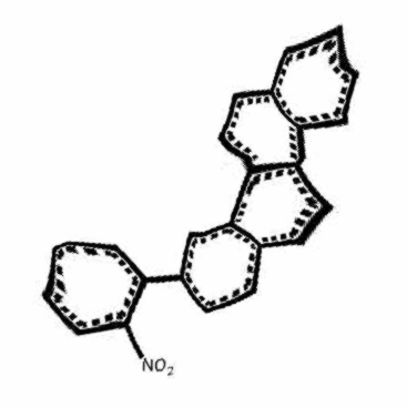 O=[N+]([O-])c1ccccc1-c1ccc2ccc3c4ccccc4ccc3c2c1